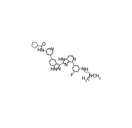 CN(C)CCNc1cc(F)cc(-c2nccc3[nH]c(-c4n[nH]c5ccc(-c6cncc(NC(=O)C7CCCC7)c6)cc45)nc23)c1